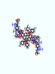 Cc1ccc(Oc2cc3c4c(cc(Oc5ccc(C)cc5)c5c6c(Oc7ccc(C)cc7)cc7c8c(cc(Oc9ccc(C)cc9)c(c2c45)c86)C(=O)N(C(C(=O)Nc2ccc(NCC4CO4)cc2)c2cccs2)C7=O)C(=O)N(C(C(=O)Nc2ccc(NCC4CO4)cc2)c2cccs2)C3=O)cc1